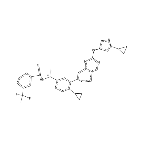 C[C@@H](NC(=O)c1cccc(C(F)(F)F)c1)c1ccc(C2CC2)c(-c2ccc3cnc(Nc4cnn(C5CC5)c4)nc3c2)c1